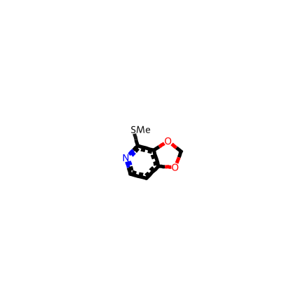 CSc1nccc2c1OCO2